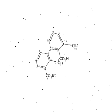 CCOC(=O)c1ccccc1O.O=C(O)c1ccccc1O